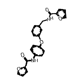 O=C(NCc1cccc(Oc2ccc(NC(=O)c3ccco3)cc2)c1)c1ccco1